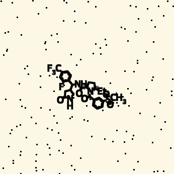 CC[C@@H]1CC[C@H](C(=O)NC(c2ccc(C(F)(F)F)cc2F)C2CNC(=O)C2)N1C(=O)c1cccc(S(C)(=O)=O)c1